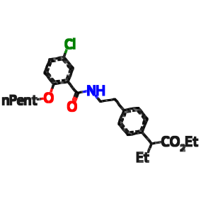 CCCCCOc1ccc(Cl)cc1C(=O)NCCc1ccc(C(CC)C(=O)OCC)cc1